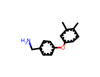 Cc1ccc(Oc2ccc(CN)cc2)cc1C